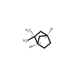 C[C@]1(N)C[C@H]2CC[C@@H]1C2